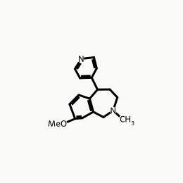 COc1ccc2c(c1)CN(C)CCC2c1ccncc1